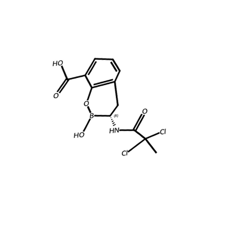 CC(Cl)(Cl)C(=O)N[C@H]1Cc2cccc(C(=O)O)c2OB1O